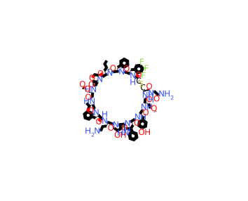 CCCC[C@H]1C(=O)N2CCOC[C@@H]2C(=O)N[C@@H](COC=O)C(=O)N[C@@H](C(C)C)C(=O)N(C)[C@@H](Cc2ccccc2)C(=O)N[C@@H](CCCN)C(=O)N2C[C@H](O)C[C@@H]2C(=O)N[C@@H](Cc2c[nH]c3ccccc23)C(=O)N[C@@H](Cc2ccc(O)cc2)C(=O)N[C@@H](CCOC)C(=O)N[C@H](C(=O)NCC(N)=O)CSCC(=O)N[C@@H](Cc2cc(F)c(F)c(F)c2)C(=O)N(C)[C@@H](Cc2ccccc2)C(=O)N1C